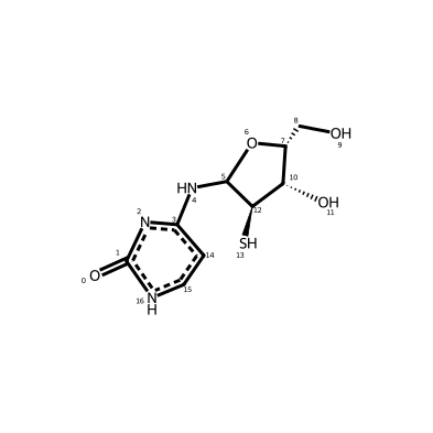 O=c1nc(NC2O[C@H](CO)[C@H](O)[C@H]2S)cc[nH]1